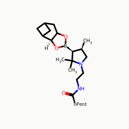 CCCCCC(=O)NCCN1C[C@H](C)[C@H](B2OC3CC4CC(C4)[C@@H]3O2)C1(C)C